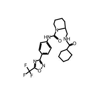 O=C(NCC1CCCCN1C(=O)Nc1ccc(-c2noc(C(F)(F)F)n2)cc1)C1CCCCC1